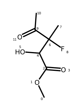 COC(=O)C(O)C(C)(F)C(C)=O